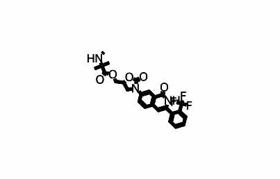 CNC(C)(C)C(=O)OCC1CN(c2ccc3cc(-c4ccccc4C(F)(F)F)[nH]c(=O)c3c2)C(=O)O1